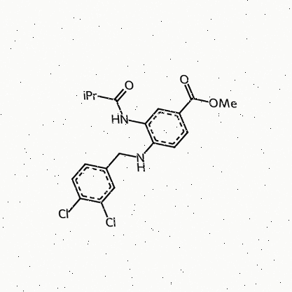 COC(=O)c1ccc(NCc2ccc(Cl)c(Cl)c2)c(NC(=O)C(C)C)c1